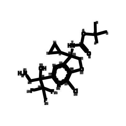 CC(C)(C)OC(=O)N[C@]1(C2CC2)COc2c1cc(C(O)(CN)C(F)(F)F)nc2Cl